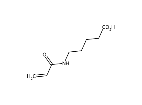 C=CC(=O)NCCCCC(=O)O